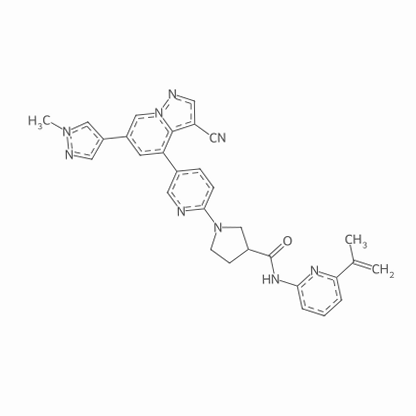 C=C(C)c1cccc(NC(=O)C2CCN(c3ccc(-c4cc(-c5cnn(C)c5)cn5ncc(C#N)c45)cn3)C2)n1